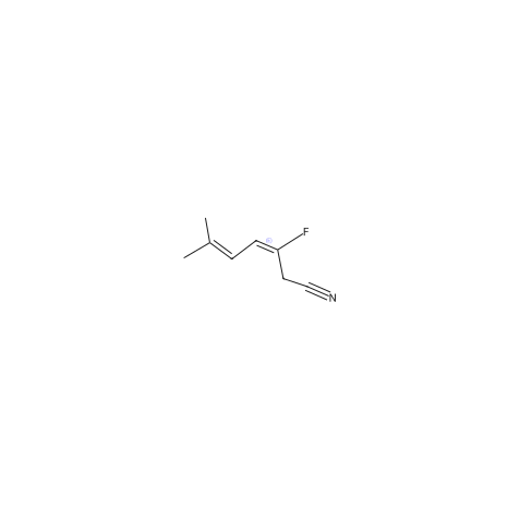 CC(C)=C/C=C(/F)CC#N